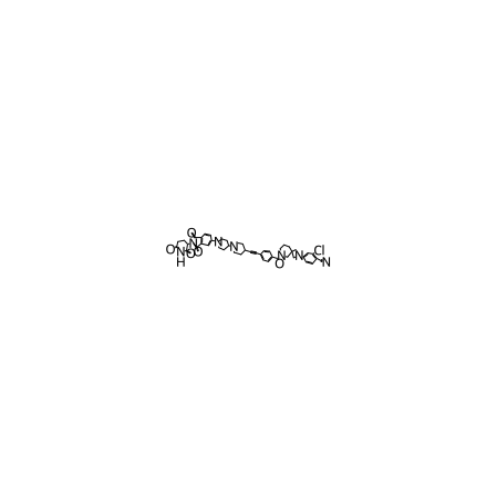 N#Cc1ccc(N2CC3(CCCN(C(=O)c4ccc(C#CC5CCN(C6CCN(c7ccc8c(c7)C(=O)N(C7CCC(=O)NC7=O)C8=O)CC6)CC5)cc4)C3)C2)cc1Cl